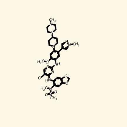 COc1cc(N2CCC(N3CCN(C)CC3)CC2)c(-c2cnn(C)c2)cc1Nc1ncc(Cl)c(Nc2cc3c(cc2N(C)S(C)(=O)=O)OCO3)n1